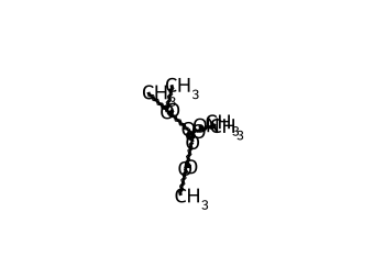 CCCCCCCCCOC(=O)CCCCCCCOc1ccc(OCCCCCCCC(=O)OC(CCCCCCCC)CCCCCCCC)c(COC(=O)CCCN(C)C)c1